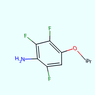 CC(C)Oc1cc(F)c(N)c(F)c1F